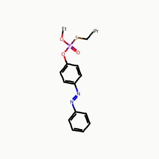 CCOP(=O)(Oc1ccc(N=Nc2ccccc2)cc1)SCC(C)C